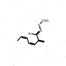 C=C(/C=C\C=C/C)/C(=N/OC=O)C(C)=O